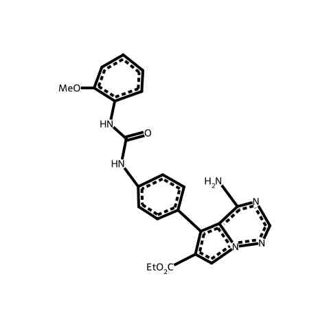 CCOC(=O)c1cn2ncnc(N)c2c1-c1ccc(NC(=O)Nc2ccccc2OC)cc1